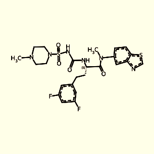 CN1CCN(S(=O)(=O)NC(=O)N[C@@H](CCc2cc(F)cc(F)c2)C(=O)N(C)c2ccc3scnc3c2)CC1